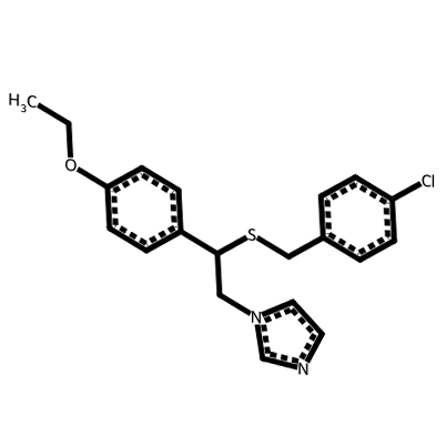 CCOc1ccc(C(Cn2ccnc2)SCc2ccc(Cl)cc2)cc1